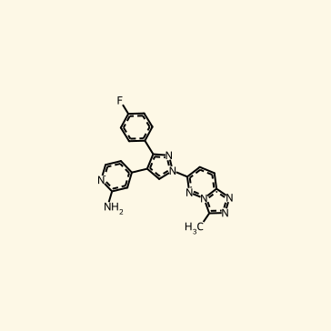 Cc1nnc2ccc(-n3cc(-c4ccnc(N)c4)c(-c4ccc(F)cc4)n3)nn12